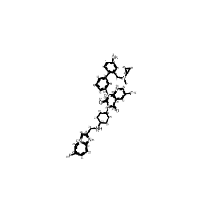 CN(Cc1cc(O)ccc1-c1cccc(-n2c(=O)n(C3CCC(NCc4cn5cc(F)ccc5n4)CC3)c(=O)c3cc(F)cnc32)c1)C1CC1